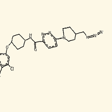 N#Cc1ccc(OC2CCC(NC(=O)c3ccc(N4CCC(CN=[N+]=[N-])CC4)nn3)CC2)cc1Cl